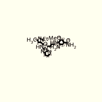 CCn1nc(C)cc1C(=O)Nc1nc2cccnc2n1CC=CCNc1c(N)cc(C(N)=O)cc1OC